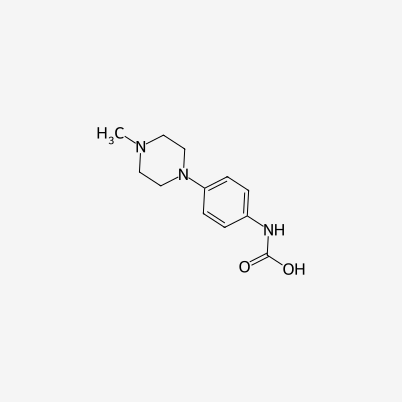 CN1CCN(c2ccc(NC(=O)O)cc2)CC1